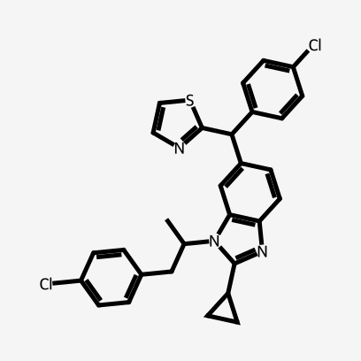 CC(Cc1ccc(Cl)cc1)n1c(C2CC2)nc2ccc(C(c3ccc(Cl)cc3)c3nccs3)cc21